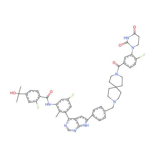 Cc1c(NC(=O)c2ccc(C(C)(C)O)cc2F)cc(F)cc1-c1ncnc2[nH]c(-c3ccc(CN4CCC5(CC4)CCN(C(=O)c4ccc(F)c(N6CCC(=O)NC6=O)c4)CC5)cc3)cc12